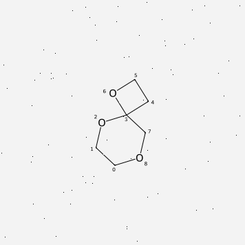 C1COC2(CCO2)CO1